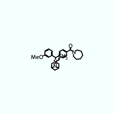 C=CCN1C2CC1CN(C(c1ccc(C(=O)N3CCCCCC3)cc1)c1cccc(OC)c1)C2